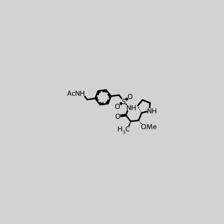 CO[C@@H]([C@@H]1CCCN1)[C@@H](C)C(=O)NS(=O)(=O)Cc1ccc(CNC(C)=O)cc1